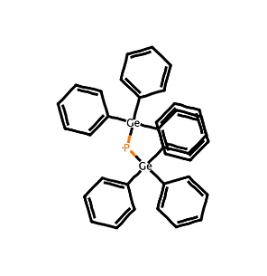 c1cc[c]([Ge]([P][Ge]([c]2ccccc2)([c]2ccccc2)[c]2ccccc2)([c]2ccccc2)[c]2ccccc2)cc1